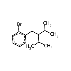 CC(C)C(Cc1ccccc1Br)C(C)C